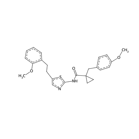 COc1ccc(CC2(C(=O)Nc3ncc(CCc4ccccc4OC)s3)CC2)cc1